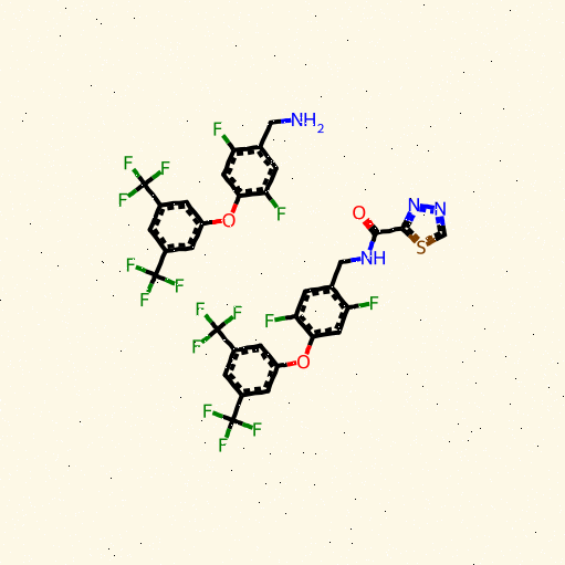 NCc1cc(F)c(Oc2cc(C(F)(F)F)cc(C(F)(F)F)c2)cc1F.O=C(NCc1cc(F)c(Oc2cc(C(F)(F)F)cc(C(F)(F)F)c2)cc1F)c1nncs1